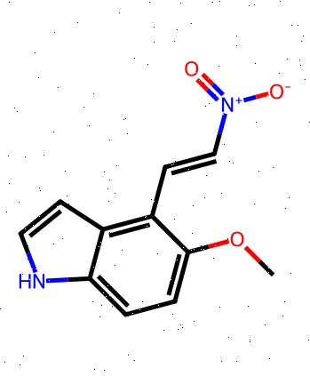 COc1ccc2[nH]ccc2c1/C=C/[N+](=O)[O-]